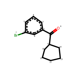 O=C(c1cccc(Br)c1)C1CCCCC1